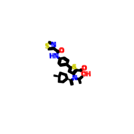 C=C([C@H]1CC[C@H](C)CC1)N(c1cc(-c2ccc(NC(=O)c3cscn3)cc2)sc1C(=O)O)C(C)C